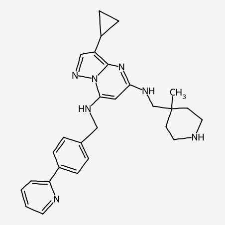 CC1(CNc2cc(NCc3ccc(-c4ccccn4)cc3)n3ncc(C4CC4)c3n2)CCNCC1